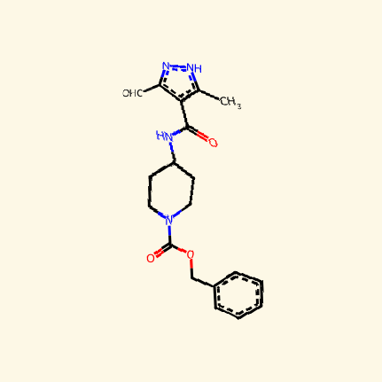 Cc1[nH]nc(C=O)c1C(=O)NC1CCN(C(=O)OCc2ccccc2)CC1